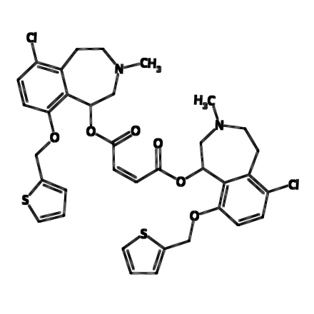 CN1CCc2c(Cl)ccc(OCc3cccs3)c2C(OC(=O)/C=C\C(=O)OC2CN(C)CCc3c(Cl)ccc(OCc4cccs4)c32)C1